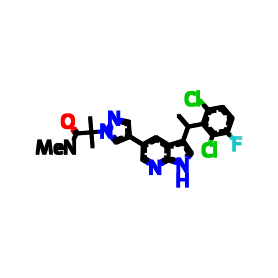 CNC(=O)C(C)(C)n1cc(-c2cnc3[nH]cc(C(C)c4c(Cl)ccc(F)c4Cl)c3c2)cn1